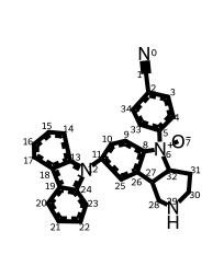 N#Cc1ccc([N+]2([O-])c3ccc(-n4c5ccccc5c5ccccc54)cc3C3CNCCC32)cc1